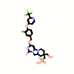 O=c1nc(OCc2ccc(Oc3ccnc(C(F)(F)F)c3)c(F)c2)cc2n1CC1CC(CO)(CS(=O)(=O)O)CCN21